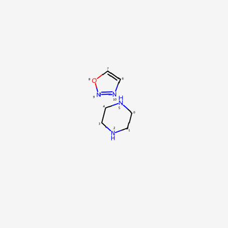 C1CNCCN1.c1conn1